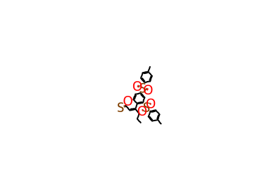 CCCc1cc(=S)oc2cc(S(=O)(=O)c3ccc(C)cc3)cc(S(=O)(=O)c3ccc(C)cc3)c12